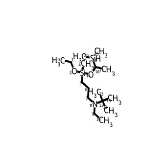 CCO[Si](C)(CCCN(CC)C(C)(C)C)OC(C)[SiH](C)C